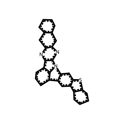 c1ccc2cc3nc4c(nc3cc2c1)c1cccc2c3cc5c(cc3n4c21)sc1ccccc15